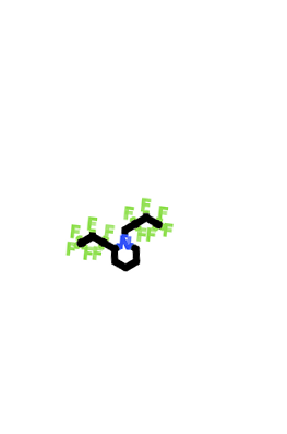 FC(C(F)(F)F)C(F)(F)CN1CCCCC1C(F)(F)C(F)C(F)(F)F